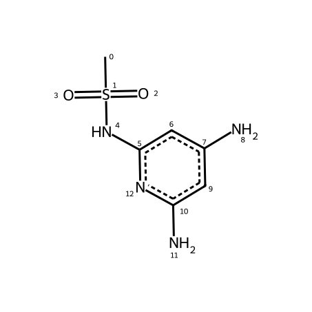 CS(=O)(=O)Nc1cc(N)cc(N)n1